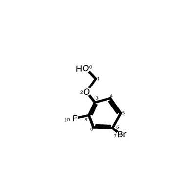 OCOc1ccc(Br)cc1F